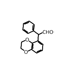 O=[C]C(c1ccccc1)c1cccc2c1OCCO2